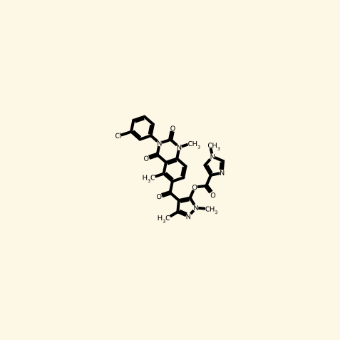 Cc1nn(C)c(OC(=O)c2cn(C)cn2)c1C(=O)c1ccc2c(c1C)c(=O)n(-c1cccc(Cl)c1)c(=O)n2C